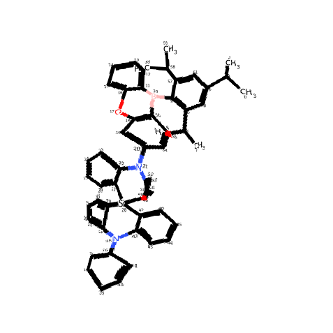 CC(C)c1cc(C(C)C)c(B2c3ccccc3Oc3cc(N4c5ccccc5[Si]5(c6ccccc6N(c6ccccc6)c6ccccc65)c5ccccc54)ccc32)c(C(C)C)c1